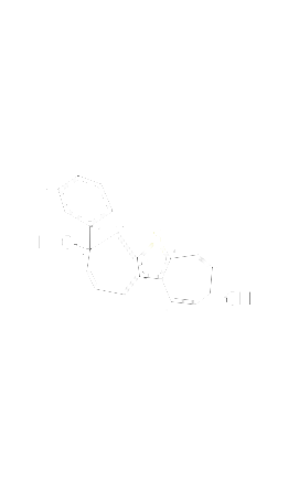 C[C@H]1C=Cc2sc3c(c2C=C1)=CC=CC(C)(c1ccccc1)C=3